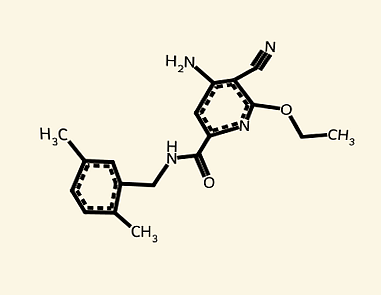 CCOc1nc(C(=O)NCc2cc(C)ccc2C)cc(N)c1C#N